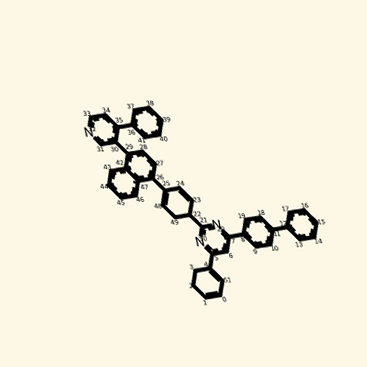 C1=CCCC(c2cc(-c3ccc(-c4ccccc4)cc3)nc(C3C=CC(c4ccc(-c5cnccc5-c5ccccc5)c5ccccc45)=CC3)n2)=C1